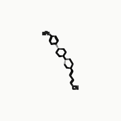 CCCc1ccc([C@H]2CC[C@H]([C@H]3CC[C@H](C=CC=CC#N)CC3)CC2)cc1